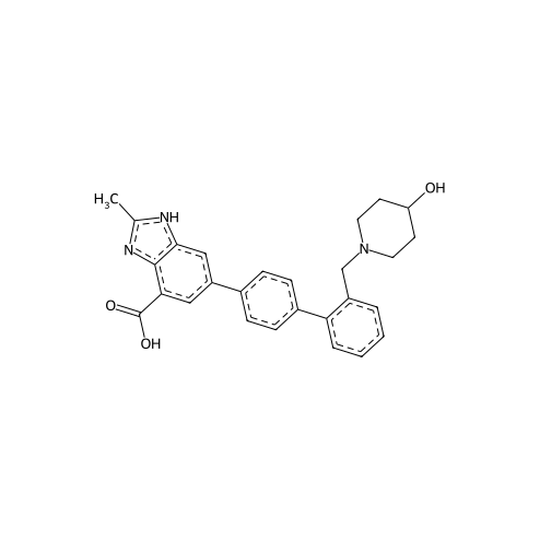 Cc1nc2c(C(=O)O)cc(-c3ccc(-c4ccccc4CN4CCC(O)CC4)cc3)cc2[nH]1